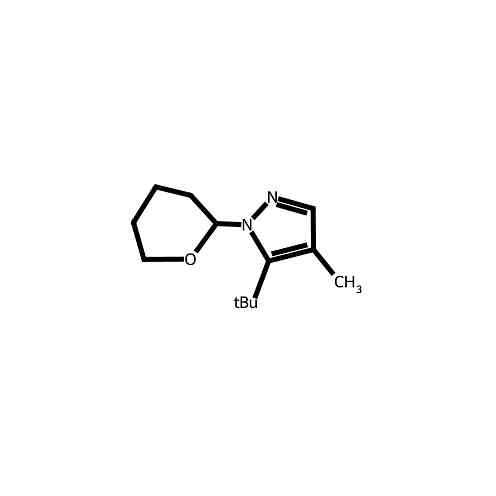 Cc1cnn(C2CCCCO2)c1C(C)(C)C